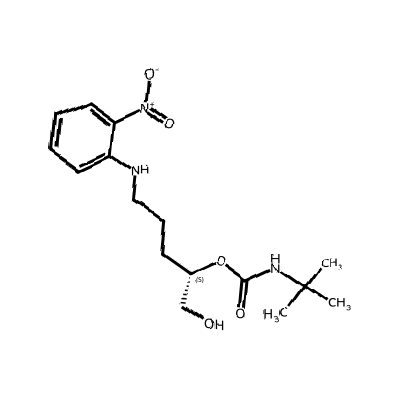 CC(C)(C)NC(=O)O[C@H](CO)CCCNc1ccccc1[N+](=O)[O-]